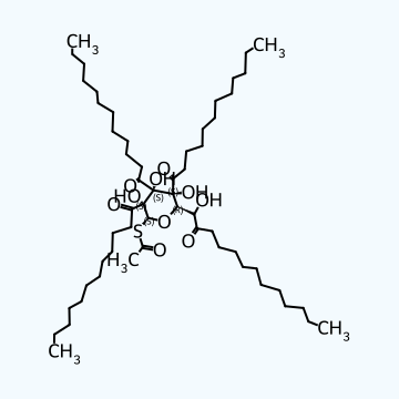 CCCCCCCCCCCC(=O)C(O)[C@H]1O[C@@H](SC(C)=O)[C@@](O)(C(=O)CCCCCCCCCCC)[C@](O)(C(=O)CCCCCCCCCCC)[C@]1(O)C(=O)CCCCCCCCCCC